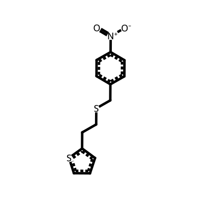 O=[N+]([O-])c1ccc(CSCCc2cccs2)cc1